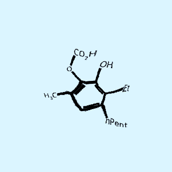 CCCCCc1cc(C)c(OC(=O)O)c(O)c1CC